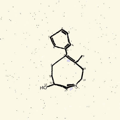 C/C1=C(\c2ccccc2)CCC(O)/C=N\CC1